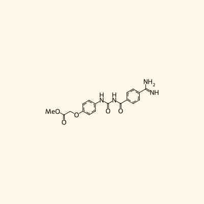 COC(=O)COc1ccc(NC(=O)NC(=O)c2ccc(C(=N)N)cc2)cc1